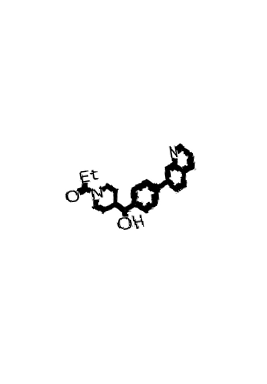 CCC(=O)N1CCC(C(O)c2ccc(-c3ccc4cccnc4c3)cc2)CC1